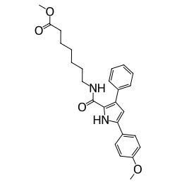 COC(=O)CCCCCCNC(=O)c1[nH]c(-c2ccc(OC)cc2)cc1-c1ccccc1